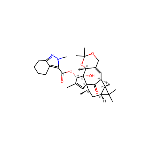 CC1=C[C@]23C(=O)[C@@H](C=C4COC(C)(C)O[C@H]4[C@]2(O)[C@H]1OC(=O)c1c2c(nn1C)CCCC2)[C@H]1[C@@H](C[C@H]3C)C1(C)C